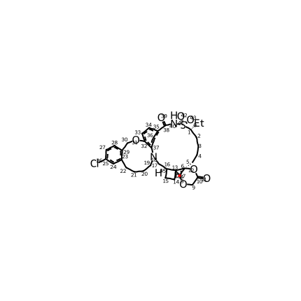 CC[C@@H]1CCCC[C@]2(COCC(=O)O2)[C@@H]2CC[C@H]2CN2CCCCc3cc(Cl)ccc3COc3ccc(cc32)C(=O)NS1(=O)=O